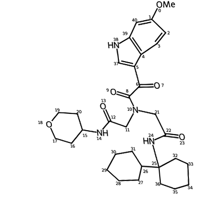 COc1ccc2c(C(=O)C(=O)N(CC(=O)NC3CCOCC3)CC(=O)NC3(C4CCCCC4)CCCCC3)c[nH]c2c1